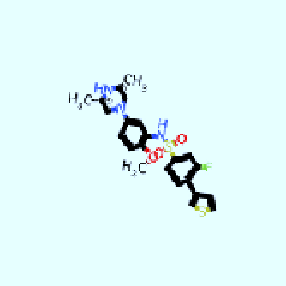 COc1ccc(N2C[C@@H](C)N[C@@H](C)C2)cc1NS(=O)(=O)c1ccc(-c2ccsc2)c(F)c1